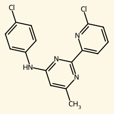 Cc1cc(Nc2ccc(Cl)cc2)nc(-c2cccc(Cl)n2)n1